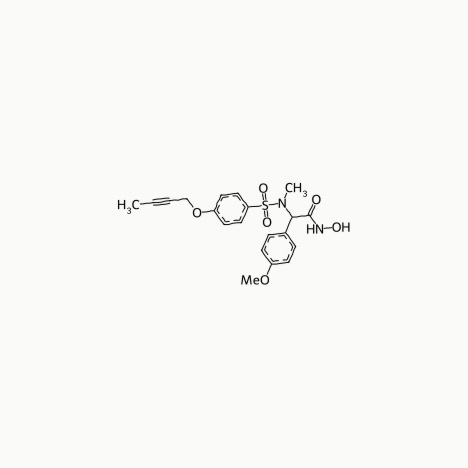 CC#CCOc1ccc(S(=O)(=O)N(C)C(C(=O)NO)c2ccc(OC)cc2)cc1